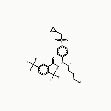 C[C@H](CCCN)[C@H](NC(=O)c1cc(C(F)(F)F)ccc1C(F)(F)F)c1ccc(S(=O)(=O)CC2CC2)cc1